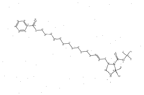 CC(C)(C)OC(=O)N1C(CC=CCCCCCCCCCCCCCC(=O)c2ccccc2)COC1(C)C